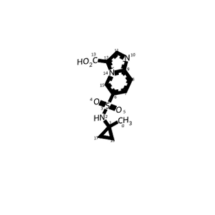 CC1(NS(=O)(=O)c2ccc3ncc(C(=O)O)n3c2)CC1